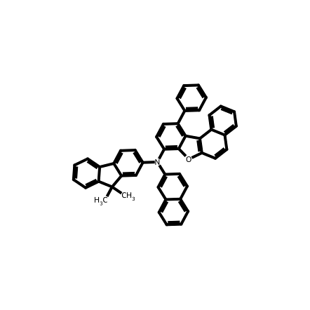 CC1(C)c2ccccc2-c2ccc(N(c3ccc4ccccc4c3)c3ccc(-c4ccccc4)c4c3oc3ccc5ccccc5c34)cc21